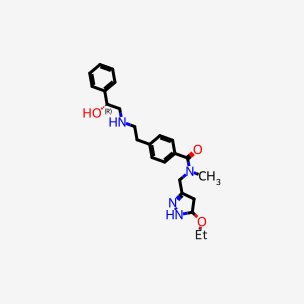 CCOC1CC(CN(C)C(=O)c2ccc(CCNC[C@H](O)c3ccccc3)cc2)=NN1